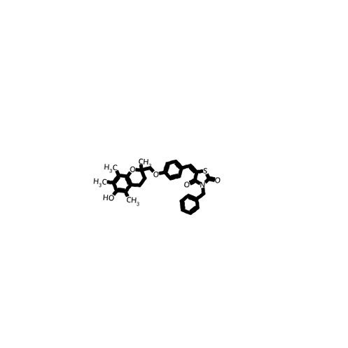 Cc1c(C)c2c(c(C)c1O)CCC(C)(COc1ccc(/C=C3/SC(=O)N(Cc4ccccc4)C3=O)cc1)O2